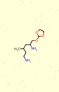 CC(CCN)CC(N)COC1OCCO1